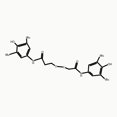 CC(C)(C)c1cc(NC(=O)CCOCCC(=O)Nc2cc(C(C)(C)C)c(O)c(C(C)(C)C)c2)cc(C(C)(C)C)c1O